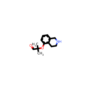 CC(C)(C=O)Oc1cccc2c1CCNC2